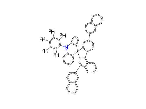 [2H]c1c([2H])c([2H])c(N2c3ccccc3C3(c4cc(-c5ccc6ccccc6c5)ccc4-c4c3cc(-c3ccc5ccccc5c3)c3ccccc43)c3ccccc32)c([2H])c1[2H]